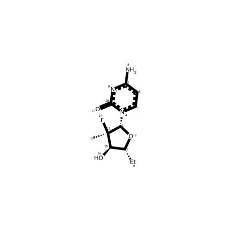 CC[C@H]1O[C@@H](n2ccc(N)nc2=O)[C@](C)(F)[C@@H]1O